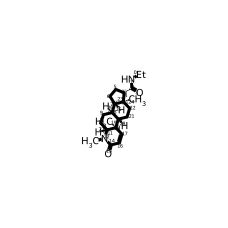 CCNC(=O)[C@H]1CC[C@H]2[C@@H]3CC[C@H]4N(C)C(=O)C=C[C@]4(C)[C@H]3CC[C@]12C